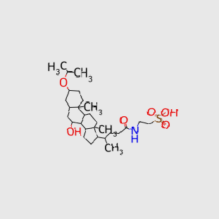 CC(C)OC1CCC2(C)C(C1)CC(O)C1C2CCC2(C)C(C(C)CCC(=O)NCCS(=O)(=O)O)CCC12